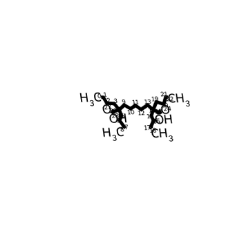 CCCCC(CCCC)(CCCCCC(CCCC)(CCCC)C(=O)O)C(=O)O